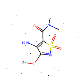 CCOC1=NS(=O)(=O)C(C(=O)N(C)C)=C1N